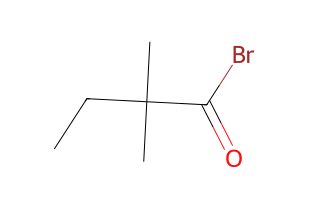 CCC(C)(C)C(=O)Br